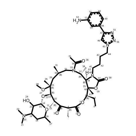 CC[C@H]1OC(=O)[C@H](C)C(=O)[C@H](C)[C@@H](O[C@@H]2OC(C)CC(N(C)C)C2O)[C@](C)(OC)C[C@@H](C)CN(C(C)=O)[C@H](C)[C@H]2N(CCCCn3cc(-c4cccc(N)c4)nn3)C(=O)O[C@]12C